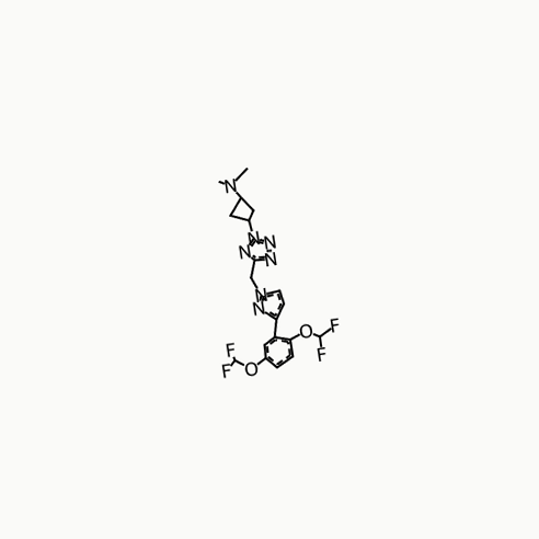 CN(C)C1CC(n2nnc(Cn3ccc(-c4cc(OC(F)F)ccc4OC(F)F)n3)n2)C1